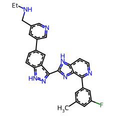 CCNCc1cncc(-c2ccc3[nH]nc(-c4nc5c(-c6cc(C)cc(F)c6)nccc5[nH]4)c3c2)c1